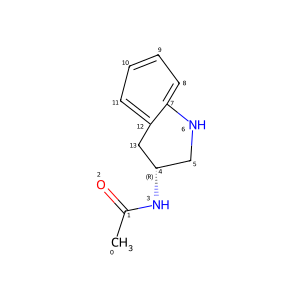 CC(=O)N[C@H]1CNc2ccccc2C1